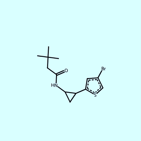 CC(C)(C)CC(=O)NC1CC1c1cc(Br)cs1